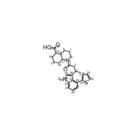 CC(CC(=O)N1CCCC2C(C(=O)O)CCCC21)c1cn(C)c2cccc(-c3cccs3)c12